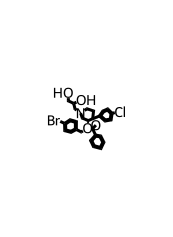 OCC(O)CN1CC[C@@](OCc2ccccc2)(c2ccc(Cl)cc2)[C@@H](OCc2ccc(Br)cc2)C1